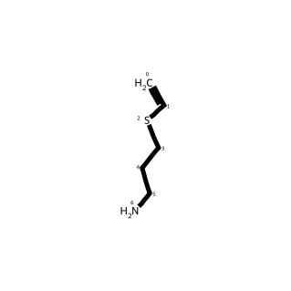 C=CSCCCN